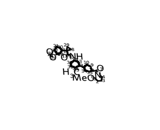 COC1CCCN1C(=O)c1ccc(-c2cc(NC(=O)C3(c4ccc5c(c4)OCO5)CC3)ccc2C)cc1